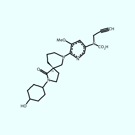 C#CCN(C(=O)O)c1cnc(N2CCC[C@]3(CCN(C4CCC(O)CC4)C3=O)C2)c(OC)c1